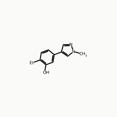 CCc1ccc(-c2cnn(C)c2)cc1O